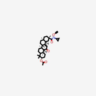 C#CON(C(=O)[C@@]1(C)CC[C@]2(C)CC[C@]3(C)C(=CC(=O)[C@@H]4[C@@]5(C)CC[C@H](OC(C)=O)C(C)(C)C5CC[C@]43C)[C@@H]2C1)C1CC1